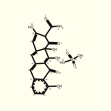 NC(=O)C1C(=O)C2(O)C(=CC3=Cc4cccc(O)c4C(=O)C3=C2O)C=C1O.O=S(=O)(O)O